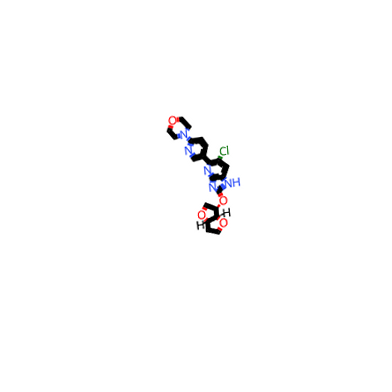 Clc1cc2[nH]c(O[C@@H]3CO[C@@H]4CCO[C@@H]43)nc2nc1-c1ccc(N2CCOCC2)nc1